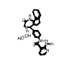 CC(C)Nc1ncccc1C(=O)Nc1ccc(C2NCC(=O)Nc3c2ccc2ccccc32)cc1.Cl.Cl